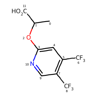 CC(Oc1cc(C(F)(F)F)c(C(F)(F)F)cn1)C(=O)O